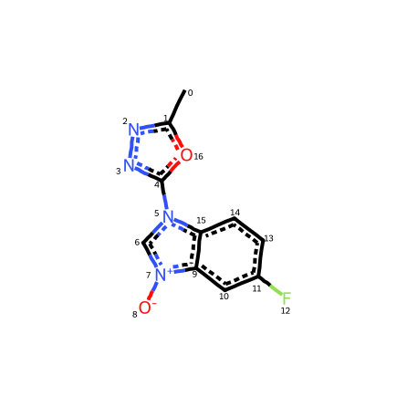 Cc1nnc(-n2c[n+]([O-])c3cc(F)ccc32)o1